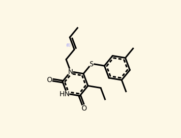 C/C=C/Cn1c(Sc2cc(C)cc(C)c2)c(CC)c(=O)[nH]c1=O